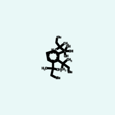 CC(C)(C)CC(C)(C)c1cccc(P(O)(O)(O)C(C)(C)CC(C)(C)C)c1C(C)(C)CC(C)(C)C